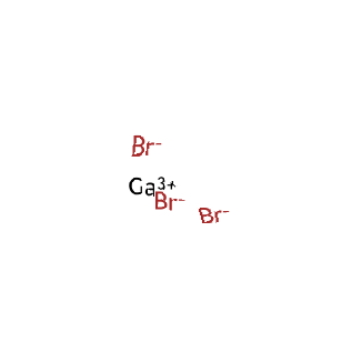 [Br-].[Br-].[Br-].[Ga+3]